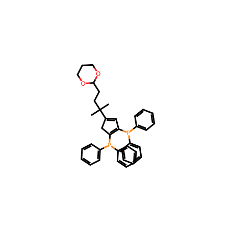 CC(C)(CCC1OCCCO1)C1=CC(P(c2ccccc2)c2ccccc2)=C(P(c2ccccc2)c2ccccc2)C1